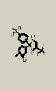 Cc1ccc(C2(c3ccc(S(C)(=O)=O)cc3)NC=C(C(F)(F)F)N2)cc1Cl